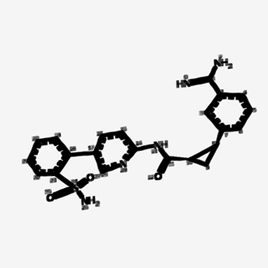 N=C(N)c1cccc([C@H]2C[C@H]2C(=O)Nc2ccc(-c3ccccc3S(N)(=O)=O)cn2)c1